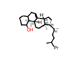 CC(C)C(C)CC[C@@H](C)[C@H]1CC[C@H]2C3=CCC4CCCC(O)[C@]4(C)[C@H]3CC[C@]12C